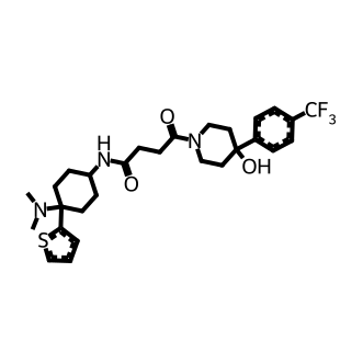 CN(C)C1(c2cccs2)CCC(NC(=O)CCC(=O)N2CCC(O)(c3ccc(C(F)(F)F)cc3)CC2)CC1